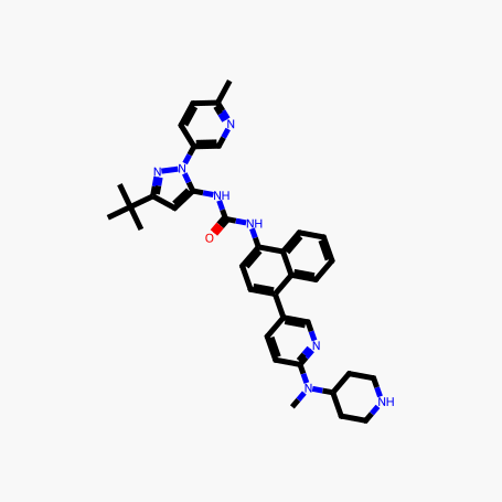 Cc1ccc(-n2nc(C(C)(C)C)cc2NC(=O)Nc2ccc(-c3ccc(N(C)C4CCNCC4)nc3)c3ccccc23)cn1